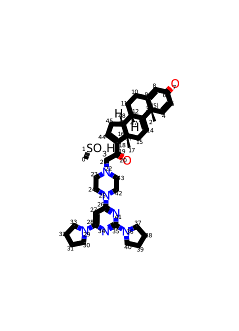 CS(=O)(=O)O.C[C@]12C=CC(=O)C=C1CC[C@@H]1C2=CC[C@]2(C)C(C(=O)CN3CCN(c4cc(N5CCCC5)nc(N5CCCC5)n4)CC3)=CC[C@@H]12